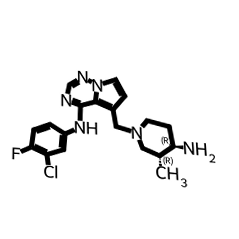 C[C@@H]1CN(Cc2ccn3ncnc(Nc4ccc(F)c(Cl)c4)c23)CC[C@H]1N